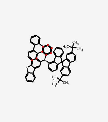 CC(C)(C)c1ccc2c(c1)C1(c3cc(C(C)(C)C)ccc3-2)c2ccccc2-c2c(N(c3ccc4sc5ccccc5c4c3)c3ccccc3-c3ccccc3-c3ccccc3-c3ccccc3)cccc21